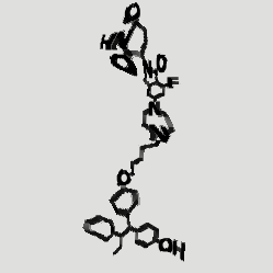 CC/C(=C(\c1ccc(O)cc1)c1ccc(OCCCCCN2CCN(c3cc(F)c4c(c3)CN(C3CCC(=O)NC3=O)C4=O)CC2)cc1)c1ccccc1